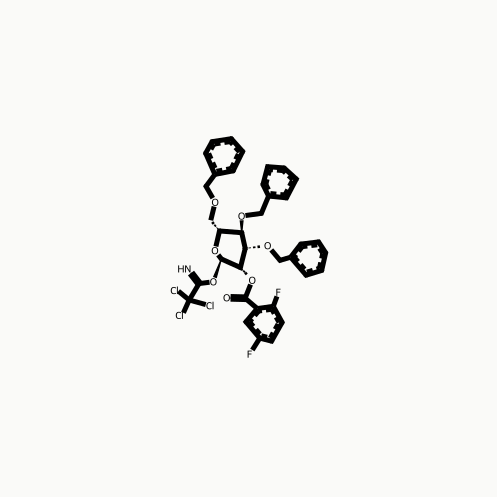 N=C(O[C@H]1O[C@H](COCc2ccccc2)[C@@H](OCc2ccccc2)[C@H](OCc2ccccc2)[C@@H]1OC(=O)c1cc(F)ccc1F)C(Cl)(Cl)Cl